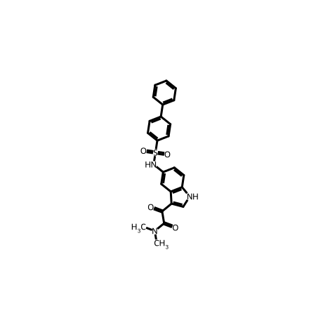 CN(C)C(=O)C(=O)c1c[nH]c2ccc(NS(=O)(=O)c3ccc(-c4ccccc4)cc3)cc12